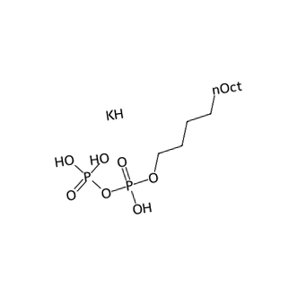 CCCCCCCCCCCCOP(=O)(O)OP(=O)(O)O.[KH]